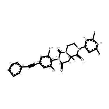 Cc1cc(N2CCN3C(=O)N(c4c(F)cc(C#Cc5ccccc5)cc4F)C(=O)CC3(C)C2=O)nc(C)n1